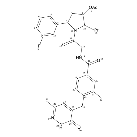 CC(=O)OC1CC(c2cccc(F)c2)N(C(=O)CNC(=O)c2ccc(Cc3cc(C)n[nH]c3=O)c(C)c2)C1C(C)C